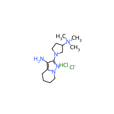 C[N+](C)(C)C1CCN(c2nn3c(c2N)CCCC3)C1.Cl.[Cl-]